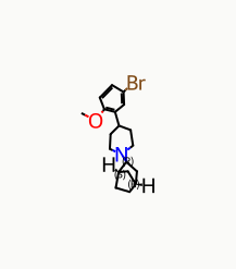 COc1ccc(Br)cc1C1CCN([C@@H]2C[C@@H]3CC[C@H]2C3)CC1